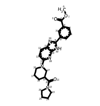 COC(=O)c1cccc(-c2nc3ccc(N4CCCC(C(=O)N5CCCC5)C4)nc3[nH]2)c1